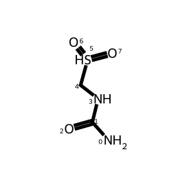 NC(=O)NC[SH](=O)=O